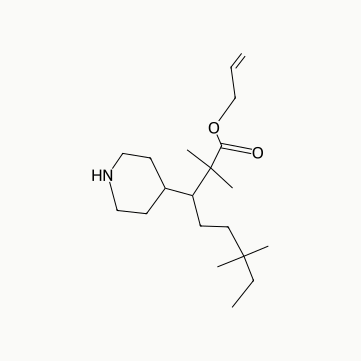 C=CCOC(=O)C(C)(C)C(CCC(C)(C)CC)C1CCNCC1